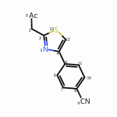 CC(=O)Cc1nc(-c2ccc(C#N)cc2)cs1